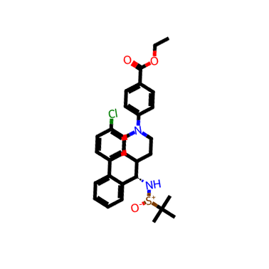 CCOC(=O)c1ccc(N2CCC([C@H](N[S+]([O-])C(C)(C)C)c3ccccc3-c3ccc(Cl)cc3)CC2)cc1